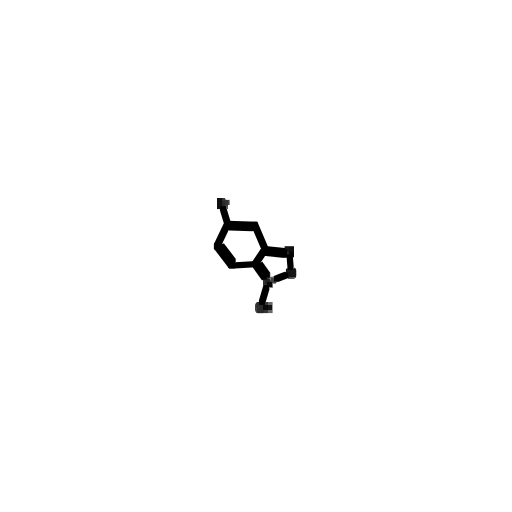 O[n+]1onc2cc(Br)ccc21